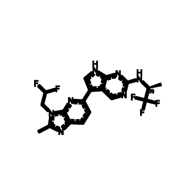 Cc1nc2ccc(-c3c[nH]c4nc(N[C@@H](C)C(F)(F)F)ncc34)nc2n1CC(F)F